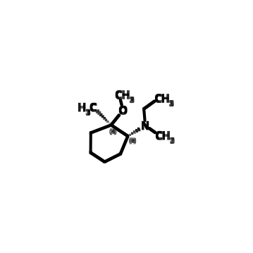 CCN(C)[C@@H]1CCCC[C@@]1(C)OC